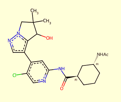 CC(=O)N[C@@H]1CCC[C@@H](C(=O)Nc2cc(-c3cnn4c3C(O)C(C)(C)C4)c(Cl)cn2)C1